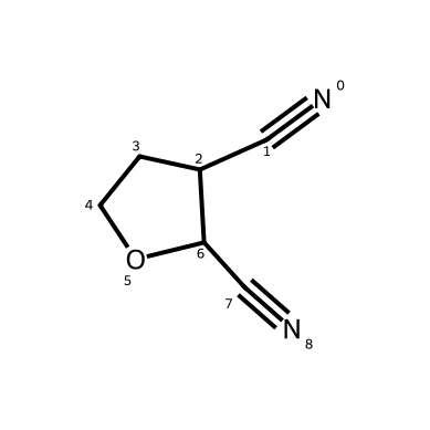 N#CC1CCOC1C#N